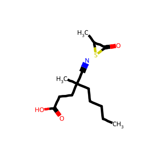 CC1SC1=O.CCCCCC(C)(C#N)CCC(=O)O